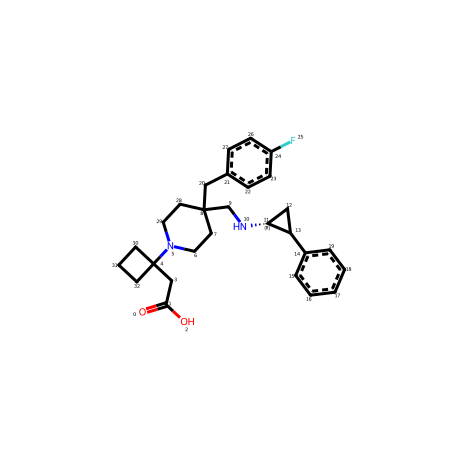 O=C(O)CC1(N2CCC(CN[C@@H]3CC3c3ccccc3)(Cc3ccc(F)cc3)CC2)CCC1